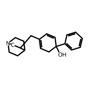 OC1(c2ccccc2)C=CC(CC2CN3CCC2CC3)=CC1